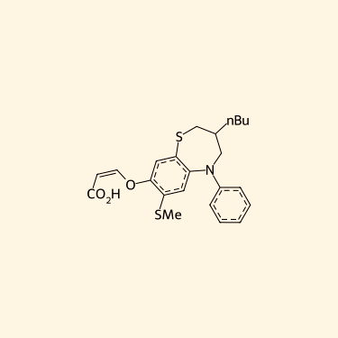 CCCCC1CSc2cc(O/C=C\C(=O)O)c(SC)cc2N(c2ccccc2)C1